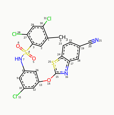 Cc1cc(S(=O)(=O)Nc2cc(Cl)cc(Oc3nc4cc(C#N)ccc4s3)c2)c(Cl)cc1Cl